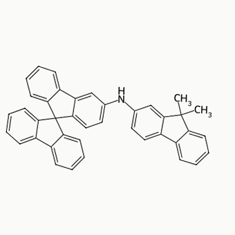 CC1(C)c2ccccc2-c2ccc(Nc3ccc4c(c3)-c3ccccc3C43c4ccccc4-c4ccccc43)cc21